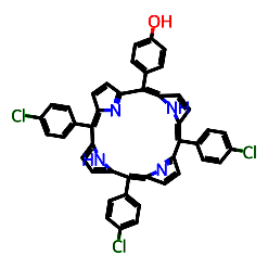 Oc1ccc(-c2c3nc(c(-c4ccc(Cl)cc4)c4ccc([nH]4)c(-c4ccc(Cl)cc4)c4nc(c(-c5ccc(Cl)cc5)c5ccc2[nH]5)C=C4)C=C3)cc1